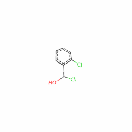 OC(Cl)c1ccccc1Cl